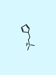 [CH3][Pt]([CH3])[CH2]CC1C=CC=C1